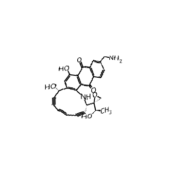 C[C@@H](O)[C@]1([C@@H]2C#C/C=C\C#C[C@H](O)c3cc(O)c4c(c3N2)C(=O)c2ccc(CN)cc2C4=O)CO1